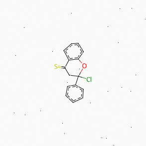 S=C1CC(Cl)(c2ccccc2)Oc2ccccc21